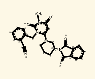 Cn1c(=O)cc(N2CCC[C@@H](N3C(=O)c4ccccc4C3=O)C2)n(Cc2ccccc2C#N)c1=O